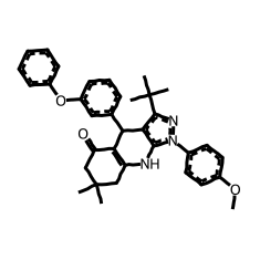 COc1ccc(-n2nc(C(C)(C)C)c3c2NC2=C(C(=O)CC(C)(C)C2)C3c2cccc(Oc3ccccc3)c2)cc1